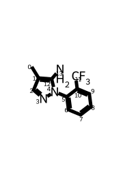 Cc1cnn(-c2ccccc2C(F)(F)F)c1N